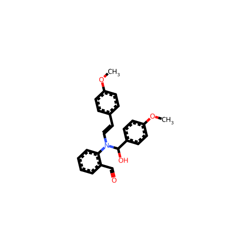 COc1ccc(/C=C/N(c2ccccc2C=O)C(O)c2ccc(OC)cc2)cc1